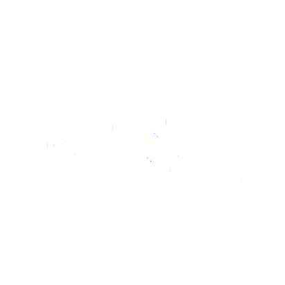 CCOP(=O)(OCC)C(Cc1nc(C(F)(F)c2ccc(Cl)cc2)no1)C(=O)OC(C)(C)C